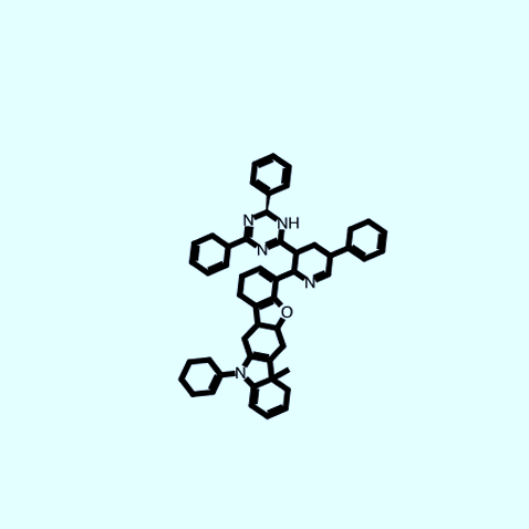 CC12CC=CC=C1N(C1=CCCCC1)C1=C2CC2OC3=C(CCC=C3C3N=CC(C4=CC=CCC4)CC3C3=NC(C4C=CC=CC4)=N[C@@H](c4ccccc4)N3)C2C1